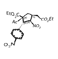 CCOC(=O)C[C@@H]1C[C@@](C(C)=O)(C(=O)OCC)[C@@H](c2ccc([N+](=O)[O-])cc2)[C@@H]1[N+](=O)[O-]